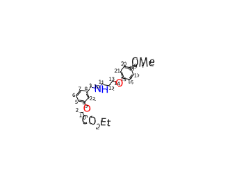 CCOC(=O)C(C)Oc1cccc(CNCCCOc2ccc(OC)cc2)c1